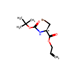 C=CCOC(=O)[C@H](CBr)NC(=O)OC(C)(C)C